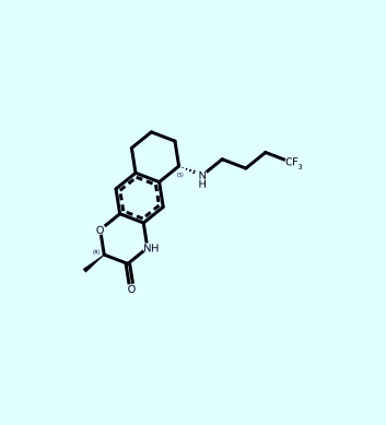 C[C@H]1Oc2cc3c(cc2NC1=O)[C@@H](NCCCC(F)(F)F)CCC3